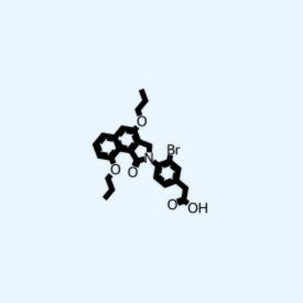 CCCOc1cc2cccc(OCCC)c2c2c1CN(c1ccc(CC(=O)O)cc1Br)C2=O